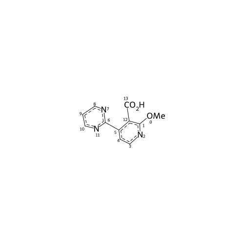 COc1nccc(-c2ncccn2)c1C(=O)O